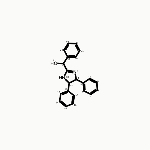 OC(C1=NC(c2ccccc2)C(c2ccccc2)N1)c1ccccc1